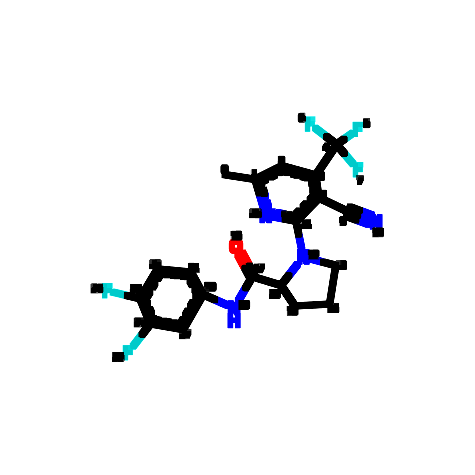 Cc1cc(C(F)(F)F)c(C#N)c(N2CCCC2C(=O)Nc2ccc(F)c(F)c2)n1